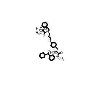 COC(=O)[C@H](Cc1ccc(OCCCN(Cc2ccccc2)C(=O)C(C)(C)C)cc1)Nc1ccccc1C(=O)c1ccccc1